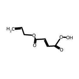 C=CCOC(=O)C=CC(=O)OO